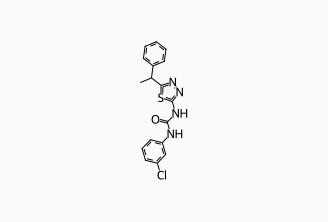 CC(c1ccccc1)c1nnc(NC(=O)Nc2cccc(Cl)c2)s1